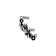 COc1ccc(C(=O)Nc2ncnc3c2ncn3[C@@H]2O[C@@H]3COP(=S)(Oc4ccccc4Cl)OC3C2O)cc1